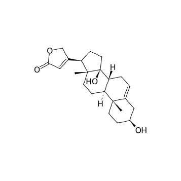 C[C@]12CC[C@H](O)CC1=CC[C@@H]1[C@@H]2CC[C@]2(C)[C@@H](C3=CC(=O)OC3)CC[C@]12O